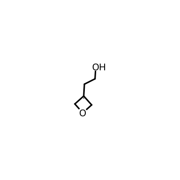 OCC[C]1COC1